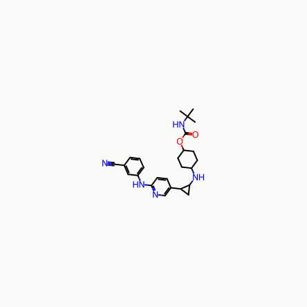 CC(C)(C)NC(=O)OC1CCC(NC2CC2c2ccc(Nc3cccc(C#N)c3)nc2)CC1